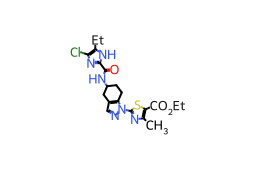 CCOC(=O)c1sc(-n2ncc3c2CCC(NC(=O)c2nc(Cl)c(CC)[nH]2)C3)nc1C